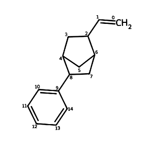 C=CC1CC2CC1CC2c1ccccc1